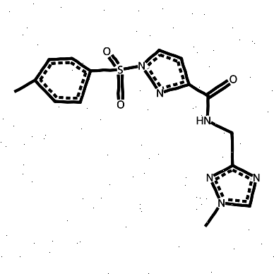 Cc1ccc(S(=O)(=O)n2ccc(C(=O)NCc3ncn(C)n3)n2)cc1